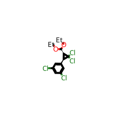 CCOC(OCC)[C@H]1[C@H](c2cc(Cl)cc(Cl)c2)C1(Cl)Cl